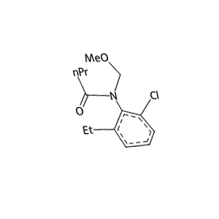 CCCC(=O)N(COC)c1c(Cl)cccc1CC